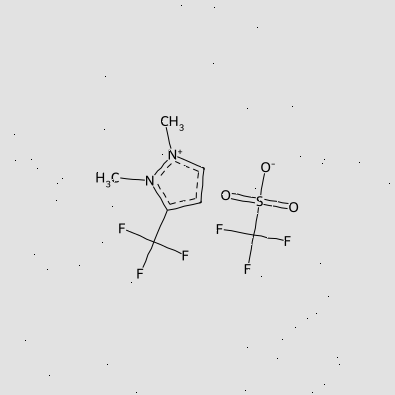 Cn1c(C(F)(F)F)cc[n+]1C.O=S(=O)([O-])C(F)(F)F